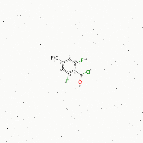 O=C(Cl)c1c(F)cc(C(F)(F)F)cc1F